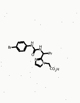 CC(C)C(NC(=O)Nc1ccc(Br)cc1)c1nccn1CC(=O)O